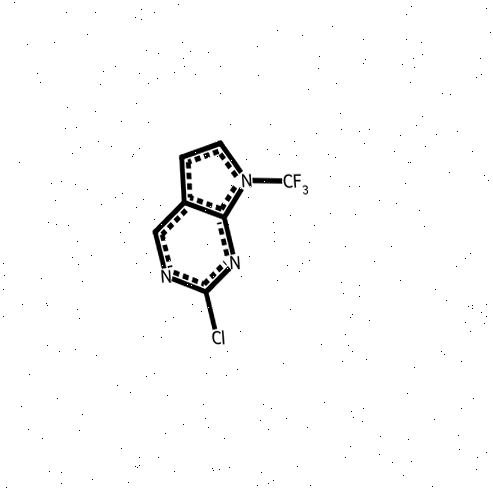 FC(F)(F)n1ccc2cnc(Cl)nc21